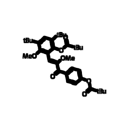 COC(=Cc1c(OC)c(C(C)(C)C)cc(C(C)(C)C)c1OC(=O)C(C)(C)C)C(=O)c1ccc(OC(=O)C(C)(C)C)cc1